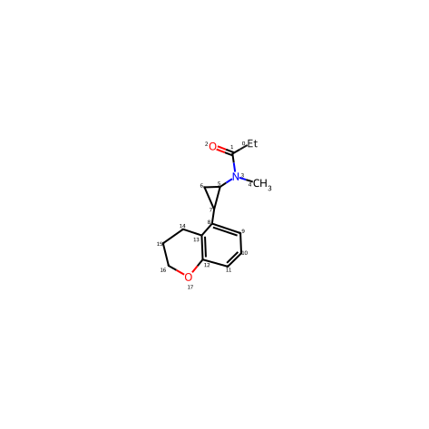 CCC(=O)N(C)C1CC1c1cccc2c1CCCO2